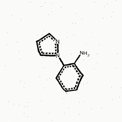 Nc1cc[c]cc1-n1cccn1